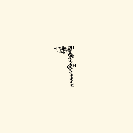 CCCCCCCCCCCCCC(=O)NCCCCCC(=O)OC[C@@H]1C[C@@H](O)[C@H](n2cnc3c(N)ncnc32)O1